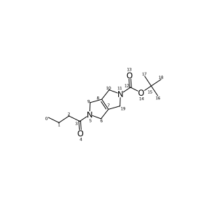 CCCC(=O)N1CC2=C(C1)CN(C(=O)OC(C)(C)C)C2